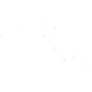 COc1nc(-c2nc3n(n2)CCCC3c2cc(C(F)(F)F)ccc2C)ccc1-n1cnc(C)c1